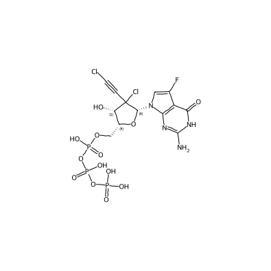 Nc1nc2c(c(F)cn2[C@@H]2O[C@H](COP(=O)(O)OP(=O)(O)OP(=O)(O)O)[C@H](O)C2(Cl)C#CCl)c(=O)[nH]1